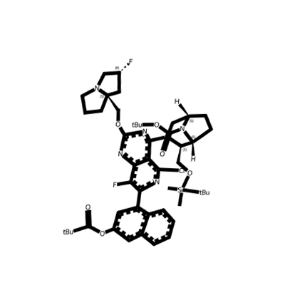 CC(C)(C)OC(=O)N1[C@H]2CC[C@@H]1[C@@H](CO[Si](C)(C)C(C)(C)C)N(c1nc(OC[C@@]34CCCN3C[C@H](F)C4)nc3c(F)c(-c4cc(OC(=O)C(C)(C)C)cc5ccccc45)nc(Cl)c13)C2